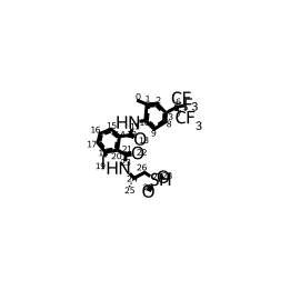 Cc1cc(C(F)(C(F)(F)F)C(F)(F)F)ccc1NC(=O)c1cccc(I)c1C(=O)N[C@@H](C)C[SH](=O)=O